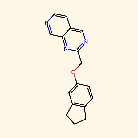 c1cc2cnc(COc3ccc4c(c3)CCC4)nc2cn1